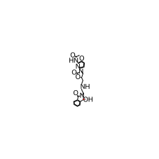 O=C1COc2ccc(N3CC(CCNCCN4C(=O)c5ccccc5C4O)OC3=O)nc2N1